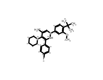 COc1cc(N2C=C(N)C(N3CCCCC3)=C(c3ccc(F)cc3)N2)ccc1C(C)(C)C